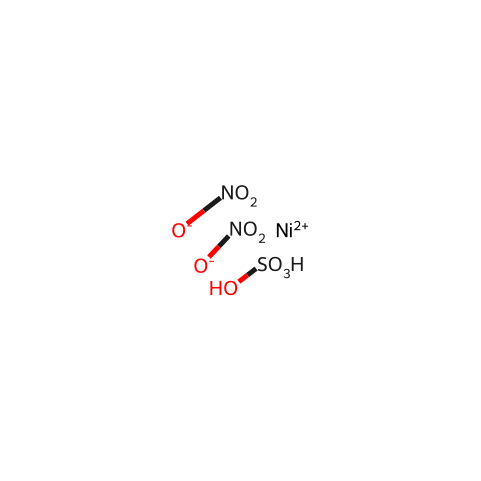 O=S(=O)(O)O.O=[N+]([O-])[O-].O=[N+]([O-])[O-].[Ni+2]